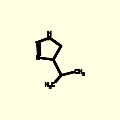 CC(C)C1CN[C]=N1